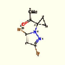 COC(=O)C1(n2nc(Br)cc2Br)CC1